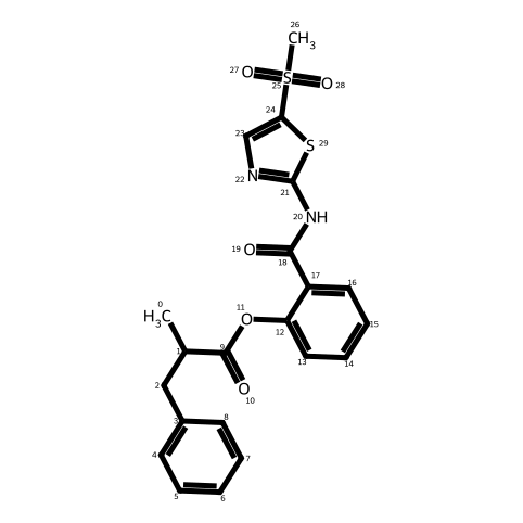 CC(Cc1ccccc1)C(=O)Oc1ccccc1C(=O)Nc1ncc(S(C)(=O)=O)s1